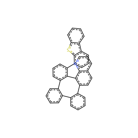 c1ccc2c(c1)-c1ccccc1-c1ccc3cccnc3c1-c1c-2cccc1-c1cccc2c1sc1ccccc12